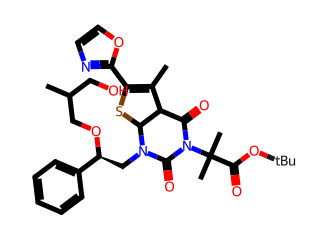 CC1=C(c2ncco2)SC2C1C(=O)N(C(C)(C)C(=O)OC(C)(C)C)C(=O)N2C[C@H](OCC(C)CO)c1ccccc1